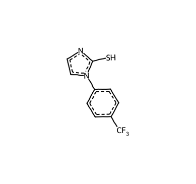 FC(F)(F)c1ccc(-n2ccnc2S)cc1